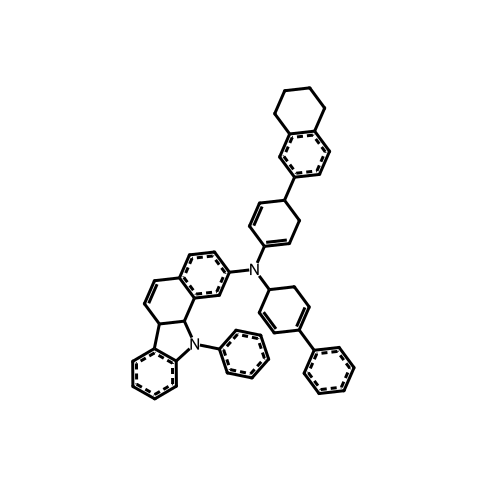 C1=CC(N(C2=CCC(c3ccc4c(c3)CCCC4)C=C2)c2ccc3c(c2)C2C(C=C3)c3ccccc3N2c2ccccc2)CC=C1c1ccccc1